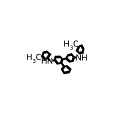 Cc1cccc(Nc2ccc(-c3ccc(Nc4cccc(C)c4)cc3-c3ccccc3)cc2)c1